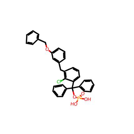 O=P(O)(O)OC(c1ccccc1)(c1ccccc1)c1cccc(Cc2cccc(OCc3ccccc3)c2)c1Cl